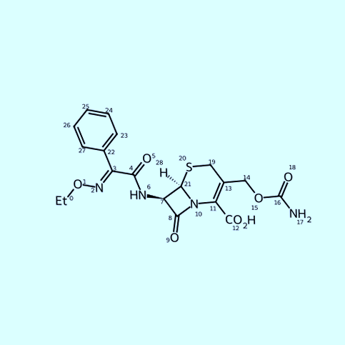 CCON=C(C(=O)N[C@@H]1C(=O)N2C(C(=O)O)=C(COC(N)=O)CS[C@H]12)c1ccccc1